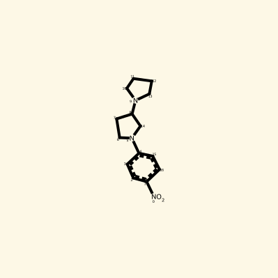 O=[N+]([O-])c1ccc(N2CCC(N3CCCC3)C2)cc1